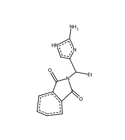 CCC(c1c[nH]c(N)n1)N1C(=O)c2ccccc2C1=O